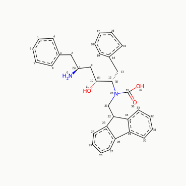 N[C@@H](Cc1ccccc1)C[C@@H](O)[C@H](Cc1ccccc1)N(CC1c2ccccc2-c2ccccc21)C(=O)O